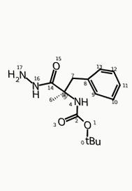 CC(C)(C)OC(=O)N[C@](C)(Cc1ccccc1)C(=O)NN